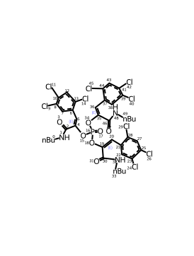 CCCCNC(=O)/C(=C\c1cc(Cl)c(Cl)cc1Cl)OP(=O)(O/C(=C/c1cc(Cl)c(Cl)cc1Cl)C(=O)NCCCC)O/C(=C/c1cc(Cl)c(Cl)cc1Cl)C(=O)NCCCC